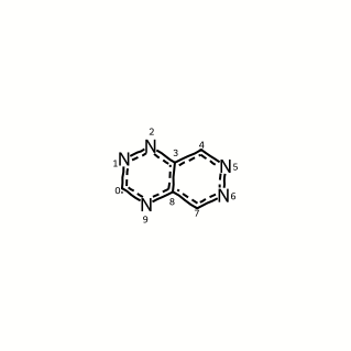 [c]1nnc2cnncc2n1